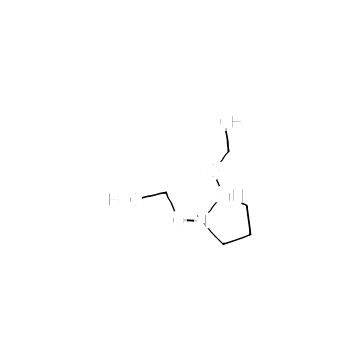 CCON1CCC[SiH]1OCC